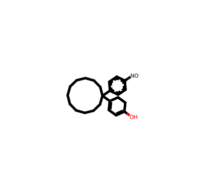 O=Nc1ccc(C2(C3=CC=C(O)CC3)CCCCCCCCCCC2)cc1